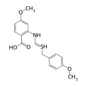 COc1ccc(C[SH]=CNc2cc(OC)ccc2C(=O)O)cc1